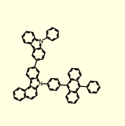 c1ccc(-c2c3ccccc3c(-c3ccc(-n4c5cc(-c6ccc7c(c6)c6ccccc6n7-c6ccccc6)ccc5c5c6ccccc6ccc54)cc3)c3ccccc23)cc1